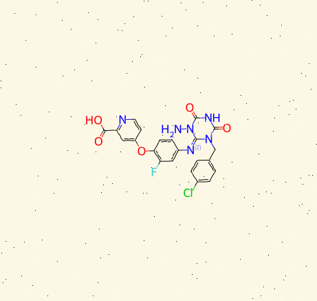 Nn1c(=O)[nH]c(=O)n(Cc2ccc(Cl)cc2)/c1=N/c1ccc(Oc2ccnc(C(=O)O)c2)c(F)c1